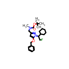 CN(Cc1cc(OCc2ccccc2)n(C(CF)C2CCCCC2)n1)C(=O)OC(C)(C)C